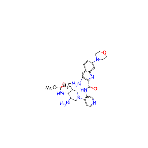 COC(=O)NC1C(C)CN(c2ccncc2NC(=O)c2nc3cc(N4CCOCC4)ccc3cc2N)CC1N